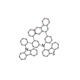 c1ccc(-c2cc(N(c3cccc(-c4cc5ccccc5c5ccccc45)c3)c3cccc4sc5ccccc5c34)ccc2-c2ccccc2-n2c3ccccc3c3ccccc32)cc1